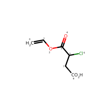 C=COC(=O)C(Cl)CC(=O)O